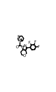 O=C(N1CCN2CCC1CC2)n1nc(-c2ccc(F)c(F)c2F)c2c1CCOC2